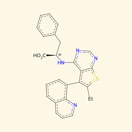 CCc1sc2ncnc(N[C@H](Cc3ccccc3)C(=O)O)c2c1-c1cccc2cccnc12